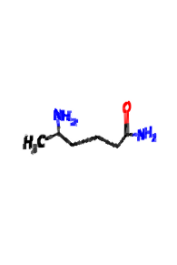 CC(N)CCCC(N)=O